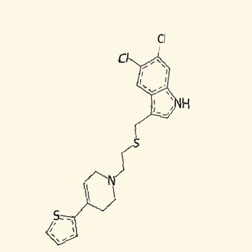 Clc1cc2[nH]cc(CSCCN3CC=C(c4cccs4)CC3)c2cc1Cl